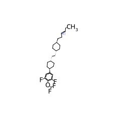 CC/C=C/CC[C@H]1CC[C@H](CC[C@H]2CC[C@H](c3cc(F)c(OC(F)F)c(F)c3)CC2)CC1